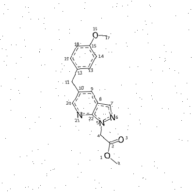 COC(=O)Cn1ncc2cc(Cc3ccc(OC)cc3)cnc21